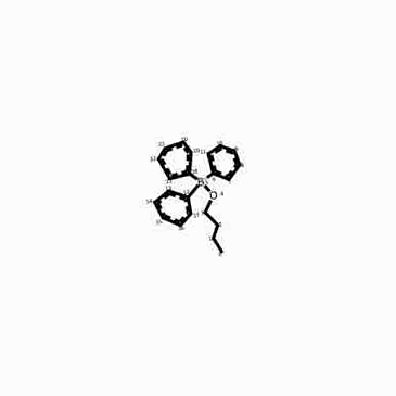 CCCCO[B-](c1ccccc1)(c1ccccc1)c1ccccc1